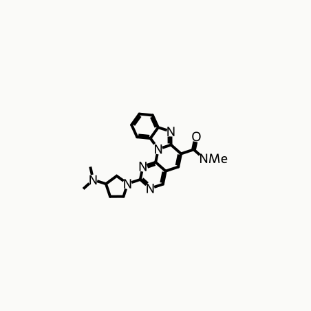 CNC(=O)c1cc2cnc(N3CCC(N(C)C)C3)nc2n2c1nc1ccccc12